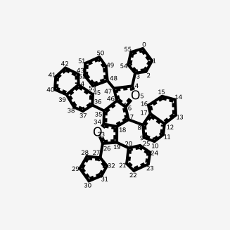 c1ccc(-c2oc3c(-c4cccc5ccccc45)c4c(-c5ccccc5)c(-c5ccccc5)oc4c(-c4ccc5ccccc5c4)c3c2-c2ccccc2)cc1